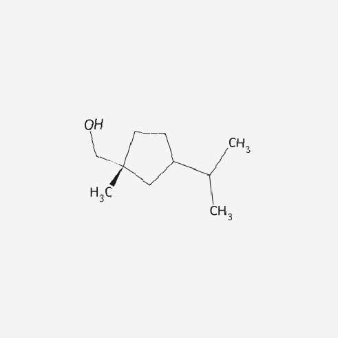 CC(C)C1CC[C@@](C)(CO)C1